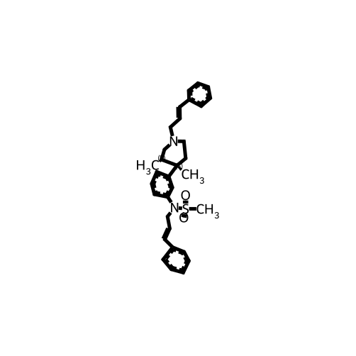 C[C@H]1CN(CC=Cc2ccccc2)CC[C@]1(C)c1cccc(N(CC=Cc2ccccc2)S(C)(=O)=O)c1